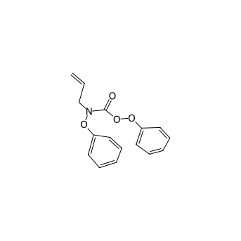 C=CCN(Oc1ccccc1)C(=O)OOc1ccccc1